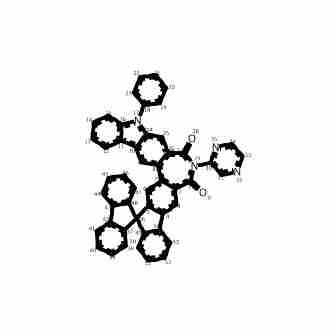 O=c1c2cc3c(cc2c2cc4c5ccccc5n(-c5ccccc5)c4cc2c(=O)n1-c1cnccn1)C1(c2ccccc2-c2ccccc21)c1ccccc1-3